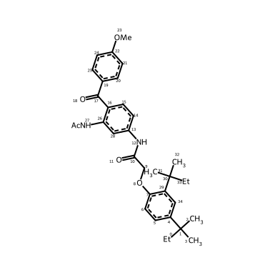 CCC(C)(C)c1ccc(OCC(=O)Nc2ccc(C(=O)c3ccc(OC)cc3)c(NC(C)=O)c2)c(C(C)(C)CC)c1